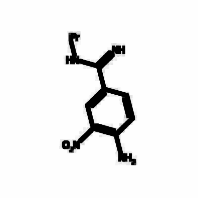 CC(C)NC(=N)c1ccc(N)c([N+](=O)[O-])c1